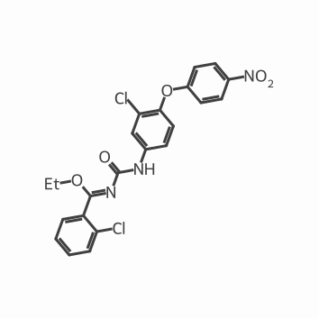 CCOC(=NC(=O)Nc1ccc(Oc2ccc([N+](=O)[O-])cc2)c(Cl)c1)c1ccccc1Cl